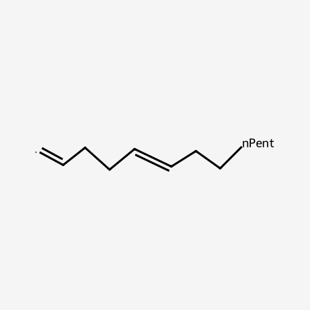 [CH]=CCCC=CCCCCCCC